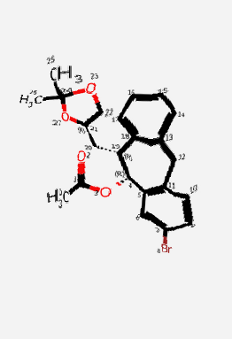 CC(=O)O[C@H]1c2cc(Br)ccc2Cc2ccccc2[C@H]1C[C@@H]1COC(C)(C)O1